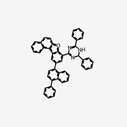 c1ccc(C2=NC(c3cc(-c4ccc(-c5ccccc5)c5ccccc45)cc4c3oc3ccc5ccccc5c34)=NC(c3ccccc3)N2)cc1